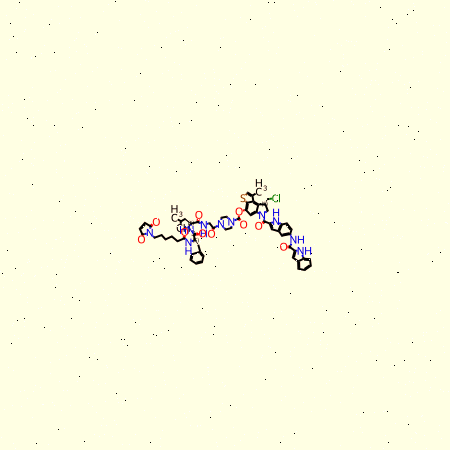 Cc1csc2c(OC(=O)N3CCN(C(=O)CNC(=O)[C@H](CC(C)C)NC(=O)[C@H](Cc4ccccc4)NC(=O)CCCCCN4C(=O)C=CC4=O)CC3)cc3c(c12)[C@H](CCl)CN3C(=O)c1cc2cc(NC(=O)c3cc4ccccc4[nH]3)ccc2[nH]1